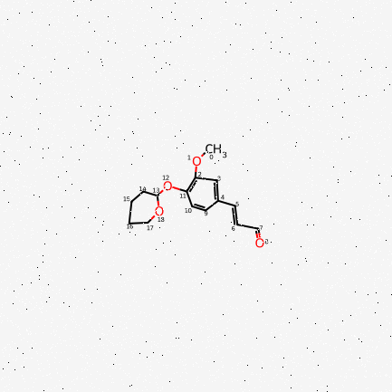 COc1cc(/C=C/C=O)ccc1OC1CCCCO1